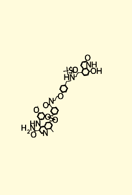 COc1cccc(Nc2c(C(N)=O)cnc3c(C)cc(S(=O)(=O)c4cccc(C(=O)N(C)CCOc5ccc(CCNCC(O[Si](C)(C)C(C)(C)C)c6ccc(O)c7[nH]c(=O)ccc67)cc5)c4)cc23)c1